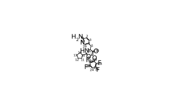 Nc1ccc(CC(NC(=O)C2CCCC2)C(=O)COc2c(F)c(F)cc(F)c2F)cn1